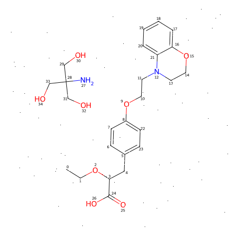 CCOC(Cc1ccc(OCCN2CCOc3ccccc32)cc1)C(=O)O.NC(CO)(CO)CO